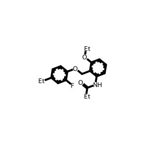 CCOc1cccc(NC(=O)CC)c1COc1ccc(CC)cc1F